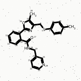 Cc1ccc(SCc2nc(-c3ccccc3C(=O)NCc3cccnc3)oc2C)cc1